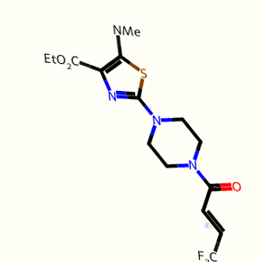 CCOC(=O)c1nc(N2CCN(C(=O)/C=C/C(F)(F)F)CC2)sc1NC